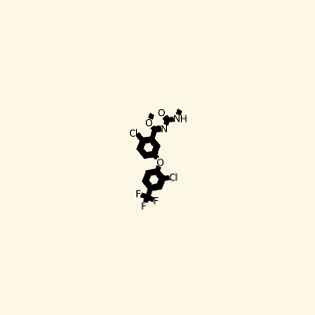 CNC(=O)N=C(OC)c1cc(Oc2ccc(C(F)(F)F)cc2Cl)ccc1Cl